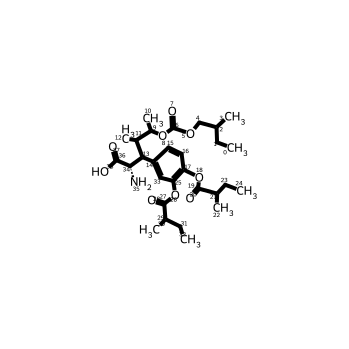 CCC(C)COC(=O)OC(C)C(C)C(c1ccc(OC(=O)C(C)CC)c(OC(=O)C(C)CC)c1)[C@H](N)C(=O)O